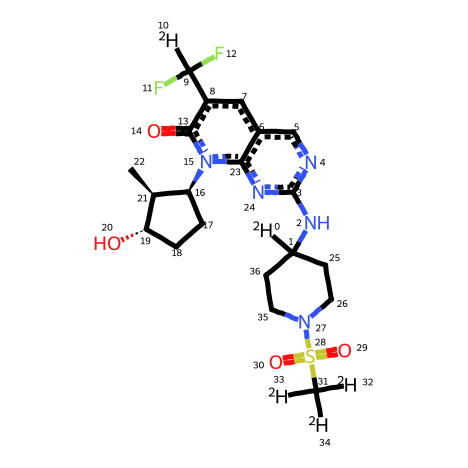 [2H]C1(Nc2ncc3cc(C([2H])(F)F)c(=O)n([C@H]4CC[C@H](O)[C@H]4C)c3n2)CCN(S(=O)(=O)C([2H])([2H])[2H])CC1